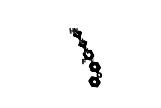 F[C@@H]1CN(C2CN(C3CNC3)C2)CC[C@@H]1c1c[c]c(Oc2ccccc2)cc1